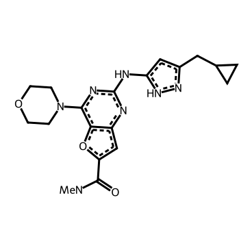 CNC(=O)c1cc2nc(Nc3cc(CC4CC4)n[nH]3)nc(N3CCOCC3)c2o1